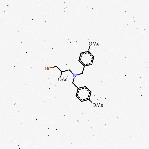 COc1ccc(CN(Cc2ccc(OC)cc2)CC(CBr)OC(C)=O)cc1